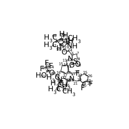 C[C@@H]1[C@@H](NC(=O)C2CCS(=O)(=O)N2Cc2cccc(CN(Cc3c(F)ccc(F)c3F)[C@H](CN(C)C)CC(C)(C)C)c2)C[C@H]2C[C@@H]1C2(C)C.O=C(O)C(F)(F)F